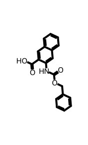 O=C(Nc1cc2ccccc2cc1C(=O)O)OCc1ccccc1